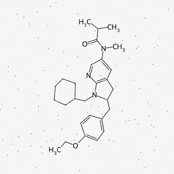 CCOc1ccc(CC2Cc3cc(N(C)C(=O)C(C)C)cnc3N2CC2CCCCC2)cc1